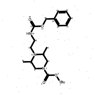 CC1CN(C(=O)OC(C)(C)C)CC(C)N1CCNC(=O)OCc1ccccc1